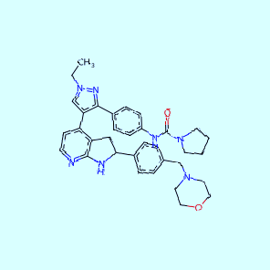 CCn1cc(-c2ccnc3c2CC(c2ccc(CN4CCOCC4)cc2)N3)c(-c2ccc(NC(=O)N3CCCC3)cc2)n1